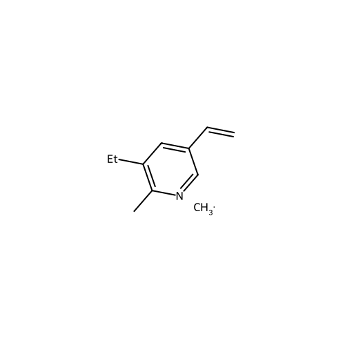 C=Cc1cnc(C)c(CC)c1.[CH3]